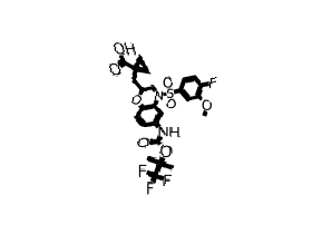 COc1cc(S(=O)(=O)N2CC(CC3(C(=O)O)CC3)Oc3ccc(NC(=O)OC(C)(C)C(F)(F)F)cc32)ccc1F